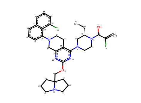 C=C(F)C(O)N1CCN(c2nc(OCC34CCCN3CCC4)nc3c2CCN(c2cccc4cccc(Cl)c24)C3)C[C@@H]1CC#N